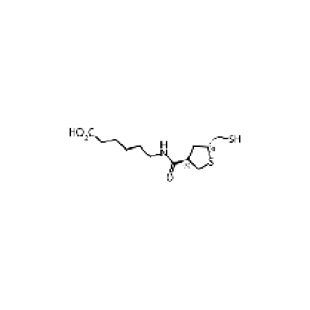 O=C(O)CCCCCNC(=O)[C@@H]1CS[C@@H](CS)C1